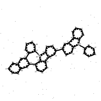 c1ccc(-n2c3ccccc3c3cc(-c4ccc5c(c4)c4cccc6c4n5-c4ccccc4-c4cc5ccccc5cc4-6)ccc32)cc1